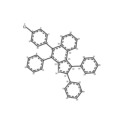 Clc1ccc(-c2c(-c3ccccc3)c3sc(-c4ccccc4)c(-c4ccccc4)c3c3ccccc23)cc1